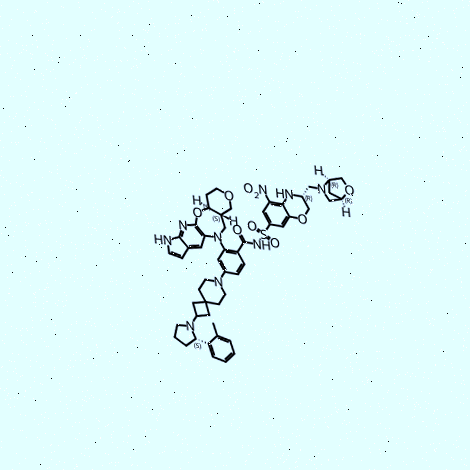 Cc1ccccc1[C@@H]1CCCN1C1CC2(CCN(c3ccc(C(=O)NS(=O)(=O)c4cc5c(c([N+](=O)[O-])c4)N[C@H](CN4C[C@H]6C[C@@H]4CO6)CO5)c(N4C[C@H]5COCC[C@@H]5Oc5nc6[nH]ccc6cc54)c3)CC2)C1